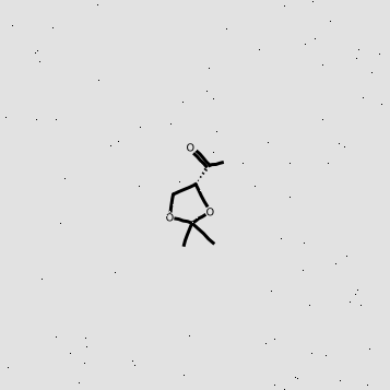 CC(=O)[C@H]1COC(C)(C)O1